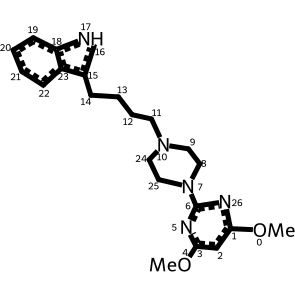 COc1cc(OC)nc(N2CCN(CCCCc3c[nH]c4ccccc34)CC2)n1